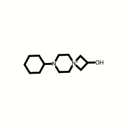 OC1C[N+]2(CCN(C3CCCCC3)CC2)C1